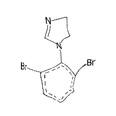 Brc1cccc(Br)c1N1C=NCC1